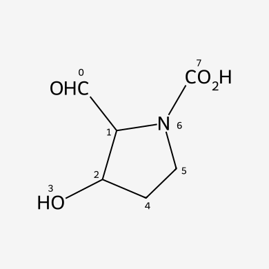 O=CC1C(O)CCN1C(=O)O